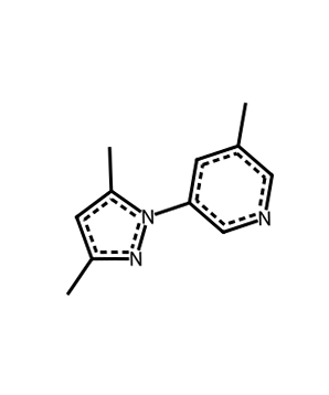 Cc1cncc(-n2nc(C)cc2C)c1